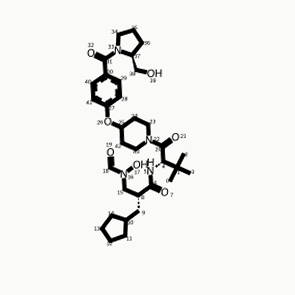 CC(C)(C)[C@H](NC(=O)[C@H](CC1CCCC1)CN(O)C=O)C(=O)N1CCC(Oc2ccc(C(=O)N3CCC[C@H]3CO)cc2)CC1